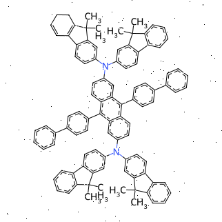 CC1(C)C2=C(C=CCC2)c2ccc(N(c3ccc4c(c3)C(C)(C)c3ccccc3-4)c3ccc4c(-c5ccc(-c6ccccc6)cc5)c5cc(N(c6ccc7c(c6)C(C)(C)c6ccccc6-7)c6ccc7c(c6)C(C)(C)c6ccccc6-7)ccc5c(-c5ccc(-c6ccccc6)cc5)c4c3)cc21